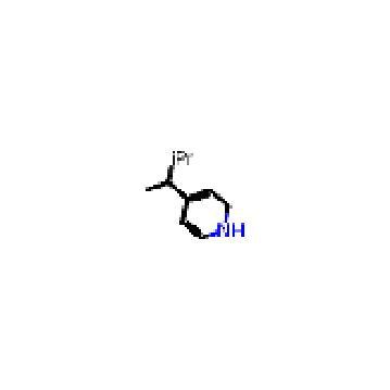 CC(C)C(C)C1=CCNC=C1